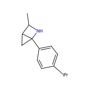 CC(C)c1ccc(C23CC2C(C)N3)cc1